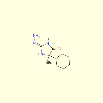 CCCCC1(C2CCCCC2)NC(=NN)N(C)C1=O